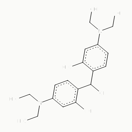 CCN(CC)c1ccc(C(C)c2ccc(N(CC)CC)cc2C)c(C)c1